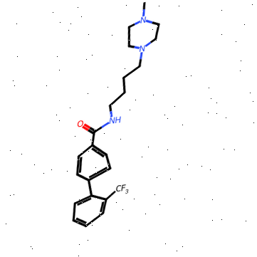 CN1CCN(CCCCNC(=O)c2ccc(-c3ccccc3C(F)(F)F)cc2)CC1